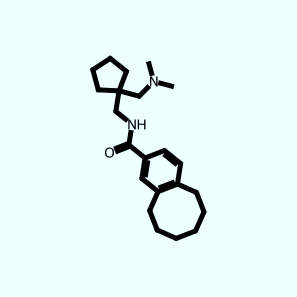 CN(C)CC1(CNC(=O)c2ccc3c(c2)CCCCCC3)CCCC1